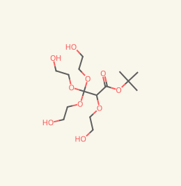 CC(C)(C)OC(=O)C(OCCO)C(OCCO)(OCCO)OCCO